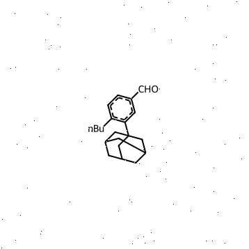 CCCCc1ccc([C]=O)cc1C12CC3CC(CC(C3)C1)C2